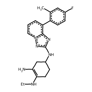 CCNC1=C(N)CC(Nc2nc3c(-c4ccc(F)cc4C)cccn3n2)CC1